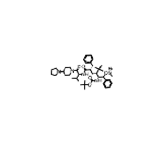 CC(C)[C@H](NC(=O)[C@H](Cc1ccccc1)C[C@H]([C@@H](NC(=O)OC(C)(C)C)C(O[SiH](C)C)c1ccccc1)C(C)(C)C)C(=O)N1CCC(N2CCCC2)CC1